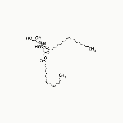 CC/C=C\C/C=C\C/C=C\CCCCCCCC(=O)OC[C@H](COP(=O)(O)OC[C@@H](O)CO)OC(=O)CCCCCCC/C=C\CCCCCCCCC